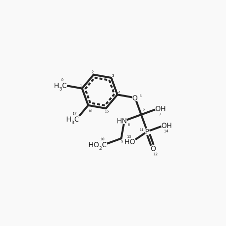 Cc1ccc(OC(O)(NCC(=O)O)P(=O)(O)O)cc1C